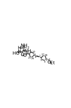 CCOCc1ccc(C#Cc2ccc(C(=O)N[C@H](C(=O)NO)C(C)(C)N)cc2)cc1